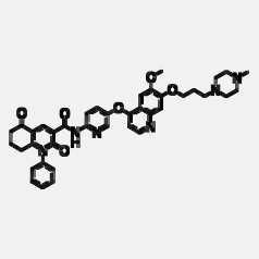 COc1cc2c(Oc3ccc(NC(=O)c4cc5c(n(-c6ccccc6)c4=O)CCCC5=O)nc3)ccnc2cc1OCCCN1CCN(C)CC1